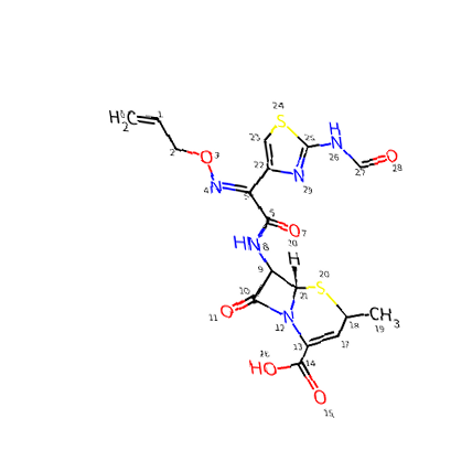 C=CCON=C(C(=O)NC1C(=O)N2C(C(=O)O)=CC(C)S[C@@H]12)c1csc(NC=O)n1